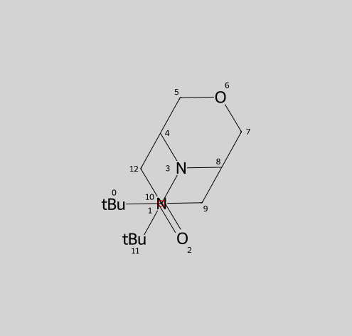 CC(C)(C)C(=O)N1C2COCC1CN(C(C)(C)C)C2